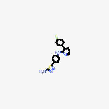 Nc1nnc(-c2ccc(Nc3ncccc3-c3ccc(F)cc3)cc2)s1